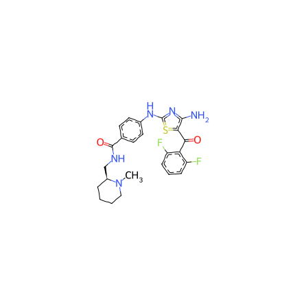 CN1CCCC[C@H]1CNC(=O)c1ccc(Nc2nc(N)c(C(=O)c3c(F)cccc3F)s2)cc1